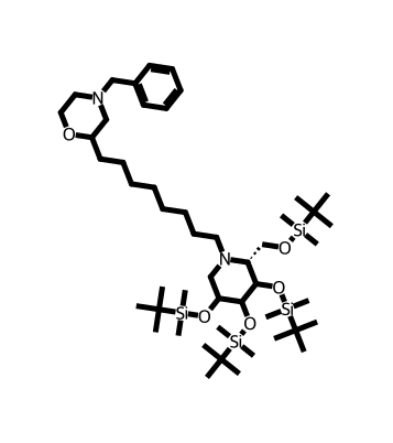 CC(C)(C)[Si](C)(C)OC[C@@H]1C(O[Si](C)(C)C(C)(C)C)C(O[Si](C)(C)C(C)(C)C)C(O[Si](C)(C)C(C)(C)C)CN1CCCCCCCCC1CN(Cc2ccccc2)CCO1